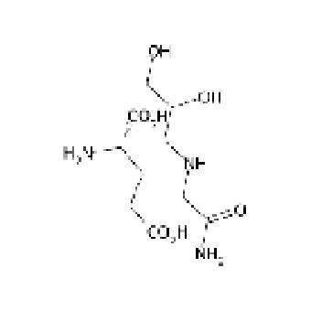 NC(=O)CNCC(O)CO.N[C@@H](CCC(=O)O)C(=O)O